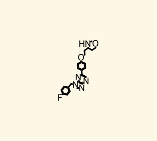 Fc1ccc(Cn2cnc3ncc(-c4ccc(OCCC5CCOCN5)cc4)nc32)cc1